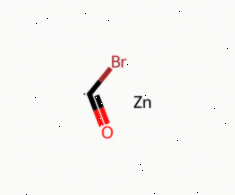 O=[C]Br.[Zn]